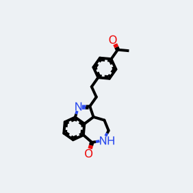 CC(=O)c1ccc(CCC2=Nc3cccc4c3C2CCNC4=O)cc1